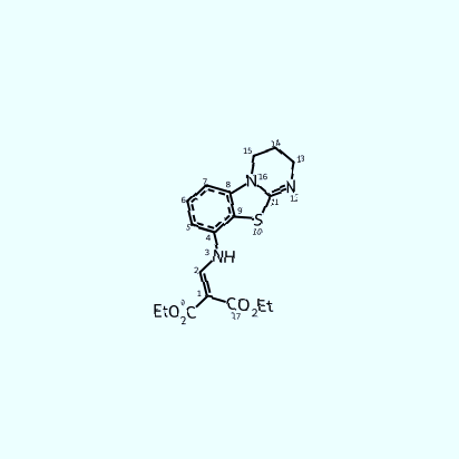 CCOC(=O)C(=CNc1cccc2c1SC1=NCCCN12)C(=O)OCC